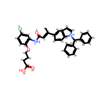 CC(=CC(=O)Nc1cc(Cl)ccc1OCCCC(=O)O)c1ccc2c(ccn2C(c2ccccc2)c2ccccc2)c1